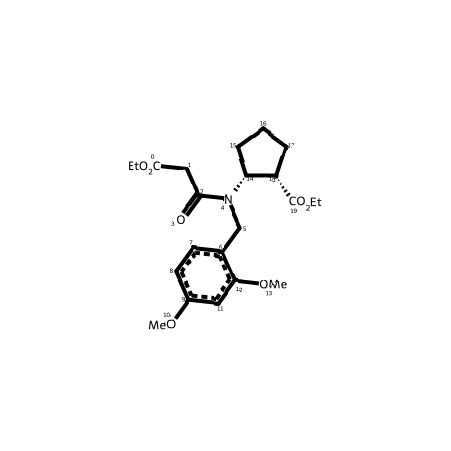 CCOC(=O)CC(=O)N(Cc1ccc(OC)cc1OC)[C@@H]1CCC[C@@H]1C(=O)OCC